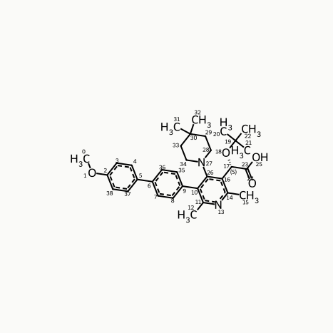 COc1ccc(-c2ccc(-c3c(C)nc(C)c([C@H](OC(C)(C)C)C(=O)O)c3N3CCC(C)(C)CC3)cc2)cc1